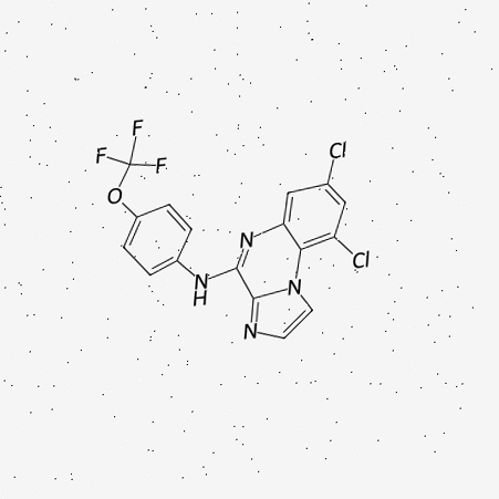 FC(F)(F)Oc1ccc(Nc2nc3cc(Cl)cc(Cl)c3n3ccnc23)cc1